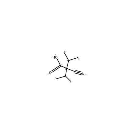 CC(C)C(C#N)(C(=O)O)C(C)C